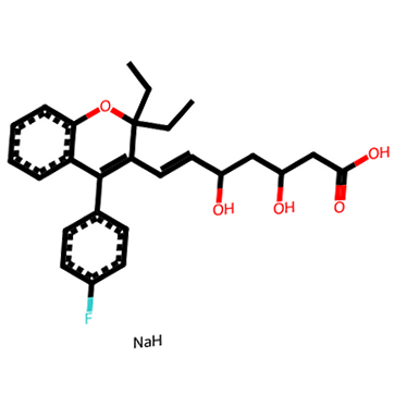 CCC1(CC)Oc2ccccc2C(c2ccc(F)cc2)=C1/C=C/C(O)CC(O)CC(=O)O.[NaH]